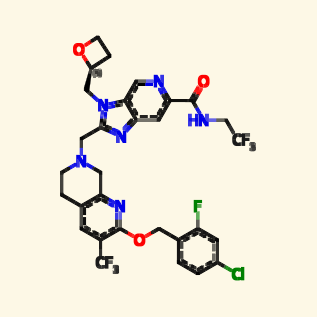 O=C(NCC(F)(F)F)c1cc2nc(CN3CCc4cc(C(F)(F)F)c(OCc5ccc(Cl)cc5F)nc4C3)n(C[C@@H]3CCO3)c2cn1